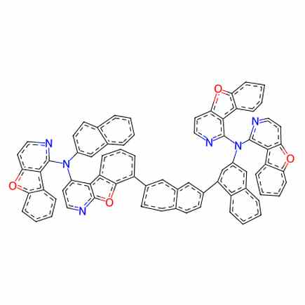 c1ccc2cc(N(c3nccc4oc5ccccc5c34)c3ccnc4oc5c(-c6ccc7ccc(-c8cc(N(c9nccc%10oc%11ccccc%11c9%10)c9nccc%10oc%11ccccc%11c9%10)cc9ccccc89)cc7c6)cccc5c34)ccc2c1